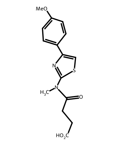 COc1ccc(-c2csc(N(C)C(=O)CCC(=O)O)n2)cc1